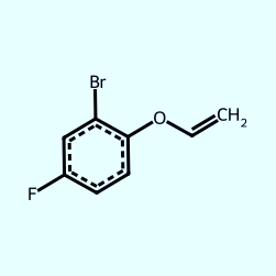 C=COc1ccc(F)cc1Br